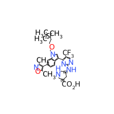 Cc1noc(C)c1-c1ccc2c(-c3nc(N[C@@H]4CNC[C@H](C(=O)O)C4)ncc3C(F)(F)F)cn(COCC[Si](C)(C)C)c2c1